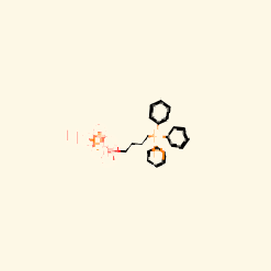 O=C(CCCC[PH](c1ccccc1)(c1ccccc1)c1ccccc1)OP(=O)(O)O